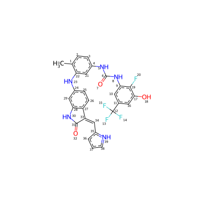 Cc1ccc(NC(=O)Nc2cc(C(F)(F)F)cc(O)c2F)cc1Nc1ccc2c(c1)NC(=O)/C2=C\c1ccc[nH]1